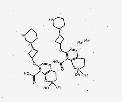 O=C(O)c1c(OC2CN([C@@H]3CCCNC3)C2)ccc2c1O[B-](O)(O)CC2.O=C(O)c1c(OC2CN([C@@H]3CCCNC3)C2)ccc2c1O[B-](O)(O)CC2.[Na+].[Na+]